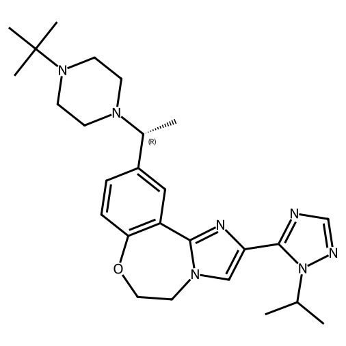 CC(C)n1ncnc1-c1cn2c(n1)-c1cc([C@@H](C)N3CCN(C(C)(C)C)CC3)ccc1OCC2